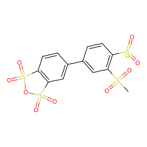 CS(=O)(=O)c1cc(-c2ccc3c(c2)S(=O)(=O)OS3(=O)=O)ccc1[SH](=O)=O